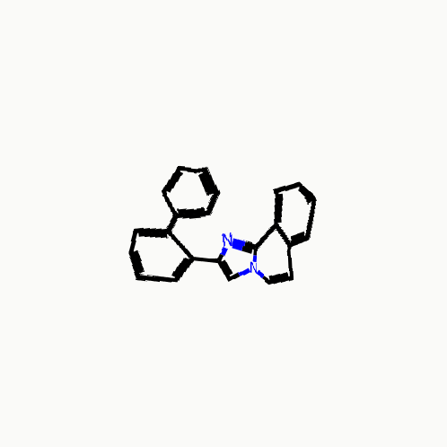 c1ccc(-c2ccccc2-c2cn3ccc4ccccc4c3n2)cc1